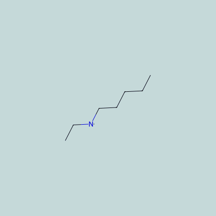 CCCCC[N]CC